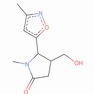 Cc1cc(C2C(CO)CC(=O)N2C)on1